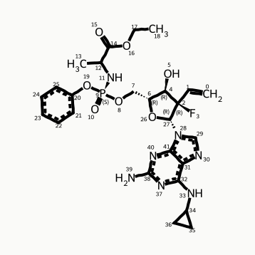 C=C[C@@]1(F)[C@H](O)[C@@H](CO[P@@](=O)(NC(C)C(=O)OCC)Oc2ccccc2)O[C@H]1n1cnc2c(NC3CC3)nc(N)nc21